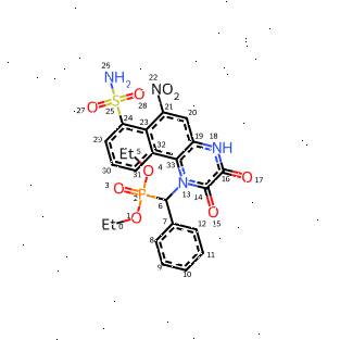 CCOP(=O)(OCC)C(c1ccccc1)n1c(=O)c(=O)[nH]c2cc([N+](=O)[O-])c3c(S(N)(=O)=O)cccc3c21